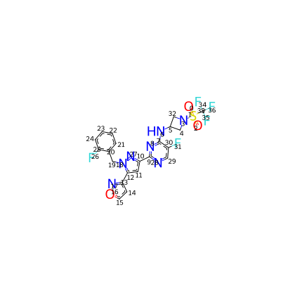 O=S(=O)(N1CC(Nc2nc(-c3cc(-c4ccon4)n(Cc4ccccc4F)n3)ncc2F)C1)C(F)(F)F